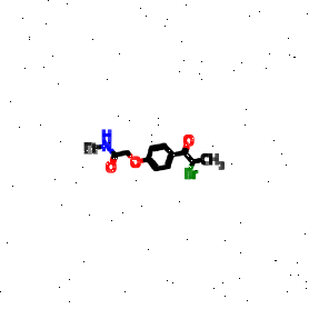 CCNC(=O)COc1ccc(C(=O)C(C)Br)cc1